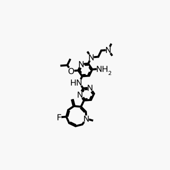 C=C1/C=C(F)\C=C/CN(C)/C=C\1c1ccnc(Nc2cc(N)c(N(C)CCN(C)C)nc2OC(C)C)n1